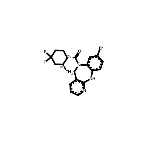 C[C@H]1CC(F)(F)CC[C@@H]1C(=O)N1Cc2cccnc2Nc2ccc(Br)cc21